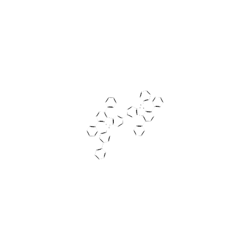 c1ccc(-c2ccc(-n3c4ccc(-c5ccc6c(c5)c5c(-c7ccccc7)ccc(-c7ccccc7)c5n6-c5ccccc5)cc4c4c(-c5ccccc5)ccc(-c5ccccc5)c43)cc2)cc1